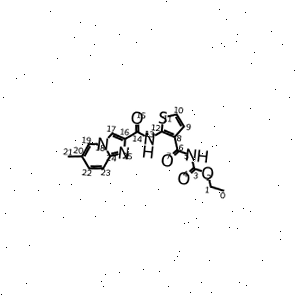 CCOC(=O)NC(=O)c1ccsc1NC(=O)c1cn2cc(C)ccc2n1